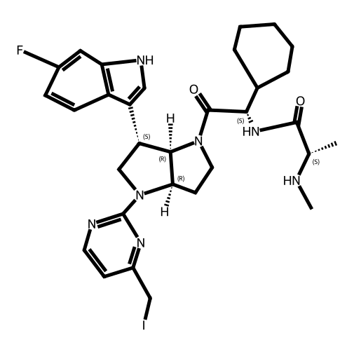 CN[C@@H](C)C(=O)N[C@H](C(=O)N1CC[C@@H]2[C@H]1[C@@H](c1c[nH]c3cc(F)ccc13)CN2c1nccc(CI)n1)C1CCCCC1